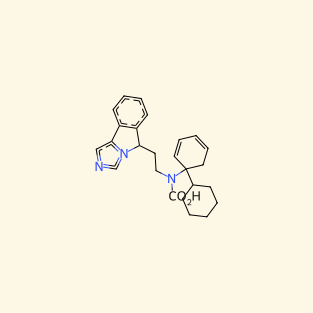 O=C(O)N(CCC1c2ccccc2-c2cncn21)C1(C2CCCCC2)C=CC=CC1